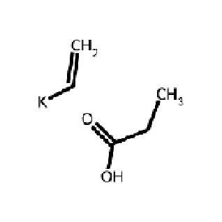 C=[CH][K].CCC(=O)O